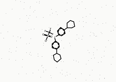 O=S(=O)([O-])C(F)(F)F.c1cc(C2CCCCC2)ccc1[I+]c1ccc(C2CCCCC2)cc1